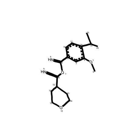 COc1cc(C(=N)OC(=N)C2CCOCC2)ccc1C(C)C